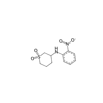 O=[N+]([O-])c1ccccc1NC1CCCS(=O)(=O)C1